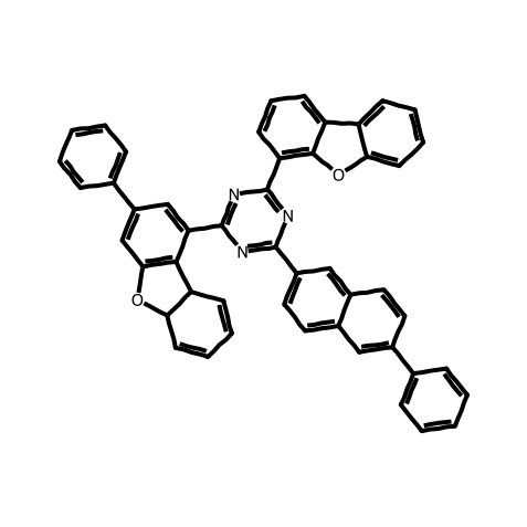 C1=CC2Oc3cc(-c4ccccc4)cc(-c4nc(-c5ccc6cc(-c7ccccc7)ccc6c5)nc(-c5cccc6c5oc5ccccc56)n4)c3C2C=C1